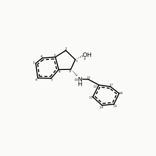 O[C@H]1Cc2ccccc2[C@H]1NCc1ccccc1